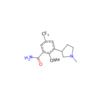 COc1c(C(N)=O)cc(C(F)(F)F)cc1C1CCN(C)C1